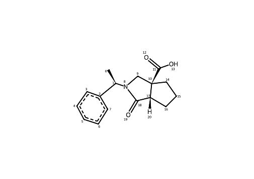 C[C@H](c1ccccc1)N1C[C@]2(C(=O)O)CCC[C@@H]2C1=O